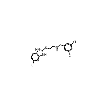 Clc1cc(Cl)cc(CNCCSC2Nc3ccc(Cl)nc3N2)c1